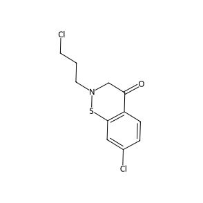 O=C1CN(CCCCl)Sc2cc(Cl)ccc21